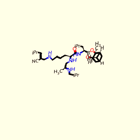 CC(C)C=C(C#N)CNCCCC[C@H](NC[C@H](C)NCC(C)C)C(=O)N[C@@H](CC(C)C)B1O[C@@H]2C[C@@H]3C[C@@H](C3(C)C)[C@]2(C)O1